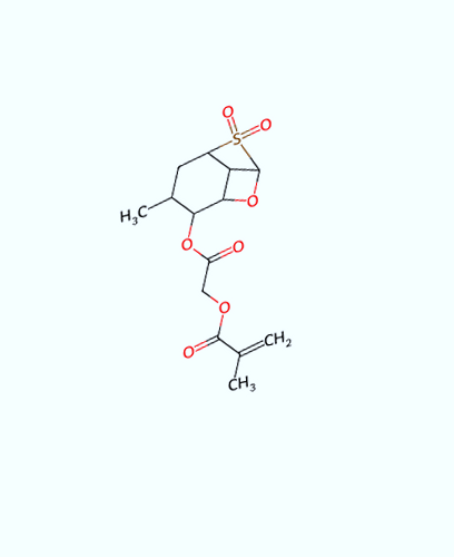 C=C(C)C(=O)OCC(=O)OC1C(C)CC2C3C1OC3S2(=O)=O